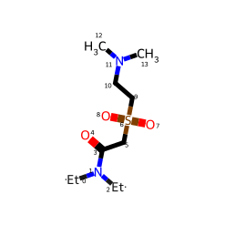 [CH2][CH]N([CH][CH2])C(=O)CS(=O)(=O)CCN(C)C